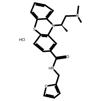 C[C@H](CN(C)C)N1c2ccccc2Sc2ccc(C(=O)NCc3ccco3)cc21.Cl